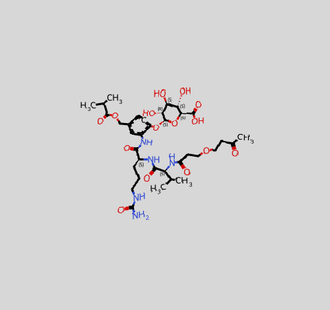 CC(=O)CCOCCC(=O)N[C@H](C(=O)N[C@@H](CCCNC(N)=O)C(=O)Nc1cc(COC(=O)C(C)C)ccc1O[C@@H]1O[C@H](C(=O)O)[C@@H](O)[C@H](O)[C@H]1O)C(C)C